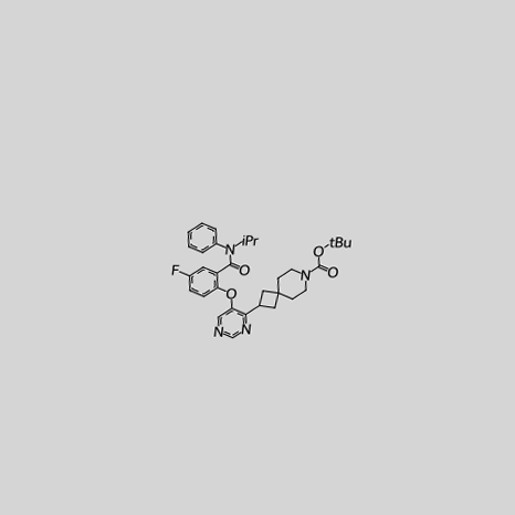 CC(C)N(C(=O)c1cc(F)ccc1Oc1cncnc1C1CC2(CCN(C(=O)OC(C)(C)C)CC2)C1)c1ccccc1